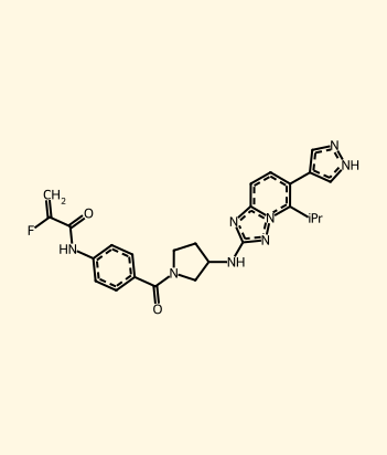 C=C(F)C(=O)Nc1ccc(C(=O)N2CCC(Nc3nc4ccc(-c5cn[nH]c5)c(C(C)C)n4n3)C2)cc1